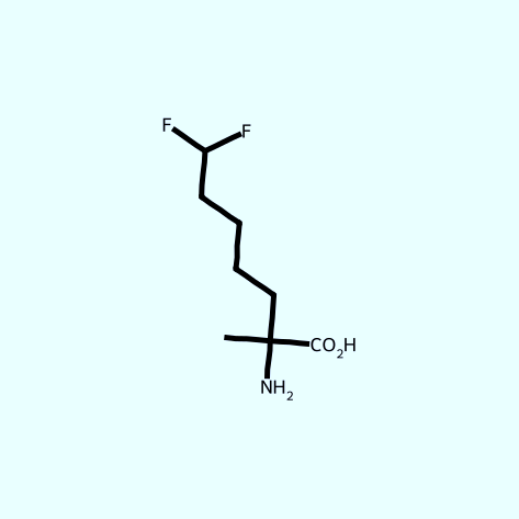 CC(N)(CCCCC(F)F)C(=O)O